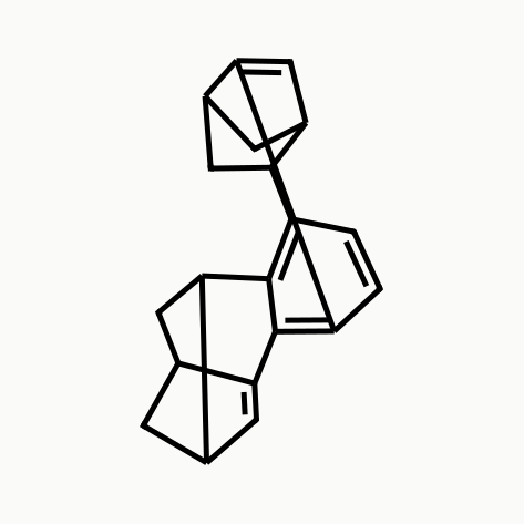 C1=C2c3ccc(C4CC2CC14)c1c3C2=CC3CC2CC13